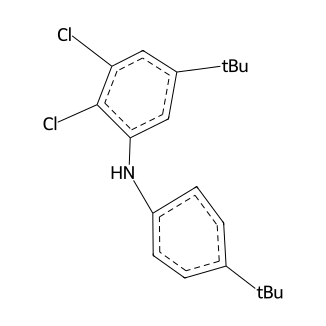 CC(C)(C)c1ccc(Nc2cc(C(C)(C)C)cc(Cl)c2Cl)cc1